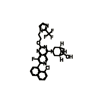 O[C@@H]1C[C@@H]2CN(c3nc(OCCn4ccnc4C(F)(F)F)nc4c(F)c(-c5cccc6cccc(Cl)c56)ncc34)C[C@H]1N2